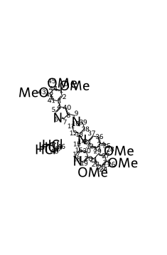 COc1cc(-c2cncc(CN3CCC(N(Cc4cncc(-c5cc(OC)c(OC)c(OC)c5)c4)c4ccc(C)cc4)CC3)c2)cc(OC)c1OC.Cl.Cl.Cl